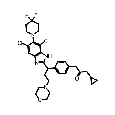 O=C(Cc1ccc(C(CCN2CCOCC2)c2nc3cc(Cl)c(N4CCC(F)(F)CC4)c(Cl)c3[nH]2)cc1)CC1CC1